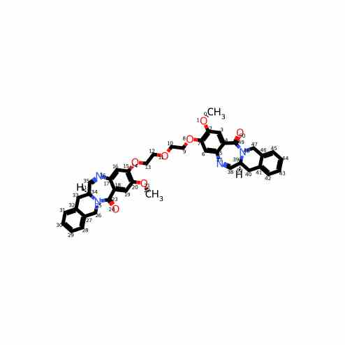 COc1cc2c(cc1OCCOCCOc1cc3c(cc1OC)C(=O)N1Cc4ccccc4C[C@H]1C=N3)N=C[C@@H]1Cc3ccccc3CN1C2=O